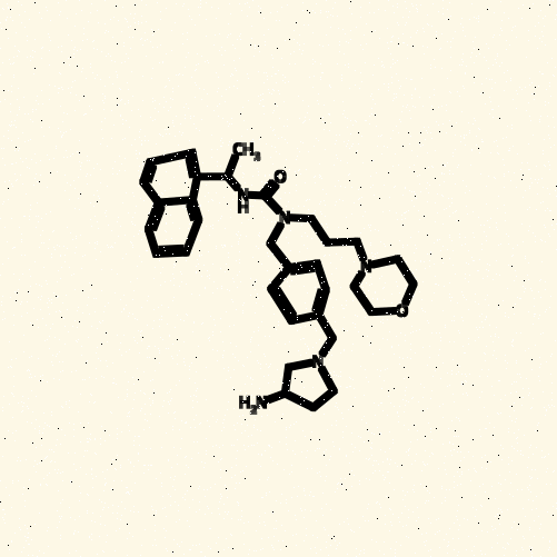 CC(NC(=O)N(CCCN1CCOCC1)Cc1ccc(CN2CCC(N)C2)cc1)c1cccc2ccccc12